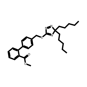 CCCCCC1(CCCCC)N=NC(SCc2ccc(-c3ccccc3C(=O)OC)cc2)=N1